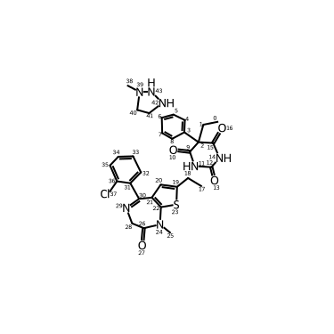 CCC1(c2ccccc2)C(=O)NC(=O)NC1=O.CCc1cc2c(s1)N(C)C(=O)CN=C2c1ccccc1Cl.CN1CCNN1